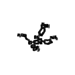 COCCOc1cc2c(Nc3ccc4[nH]ncc4c3)nc(-c3cccc(N)c3)nc2cc1OC